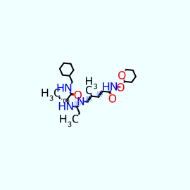 CC\C(=N/C=C(C)/C=C/C(=O)NOC1CCCCO1)N[C@H](CC)C(=O)NCC1CCCCC1